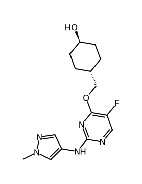 Cn1cc(Nc2ncc(F)c(OC[C@H]3CC[C@H](O)CC3)n2)cn1